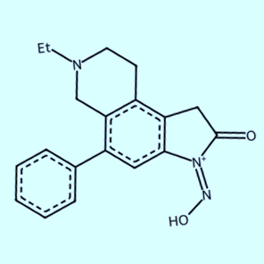 CCN1CCc2c(c(-c3ccccc3)cc3c2CC(=O)[N+]3=NO)C1